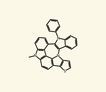 Cn1c2cccc3c2c2c1ccc1c4sccc4n(c12)c1c2ccccc2n(-c2ccccc2)c31